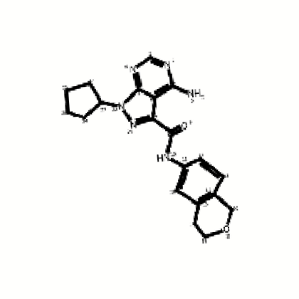 Nc1ncnc2c1c(C(=O)Nc1ccc3c(c1)CCOC3)nn2C1CCCC1